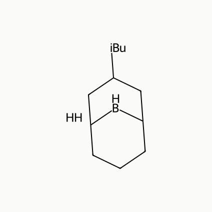 CCC(C)C1CC2BC(CCC2)C1.[HH]